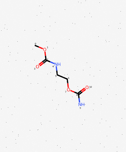 COC(=O)NCCOC([NH])=O